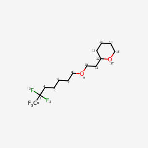 FC(F)(F)C(F)(F)CCCCCOCCC1CCCCO1